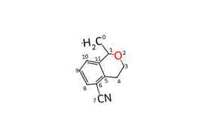 [CH2]C1OCCc2c(C#N)cccc21